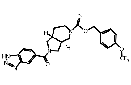 O=C(OCc1ccc(OC(F)(F)F)cc1)N1CC[C@H]2CN(C(=O)c3ccc4[nH]nnc4c3)C[C@@H]2C1